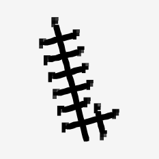 CC(F)(C(F)(F)F)C(F)(F)C(F)(F)C(F)(F)C(F)(F)C(F)(F)F